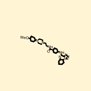 COc1ccc(N2CCN(CCNC(=O)c3ccc(Nc4nc5ccccc5n5nnnc45)cc3)CC2)cc1